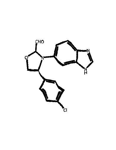 O=CC1OC[C@H](c2ccc(Cl)cc2)N1c1ccc2nc[nH]c2c1